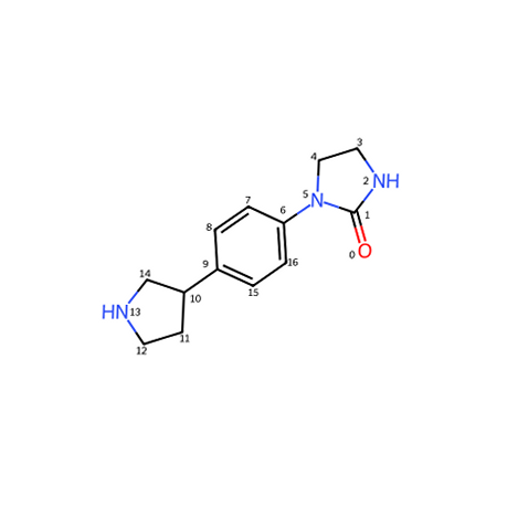 O=C1NCCN1c1ccc(C2CCNC2)cc1